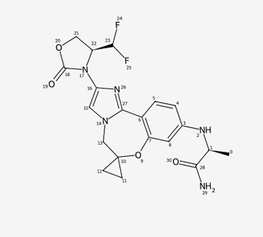 C[C@H](Nc1ccc2c(c1)OC1(CC1)Cn1cc(N3C(=O)OC[C@H]3C(F)F)nc1-2)C(N)=O